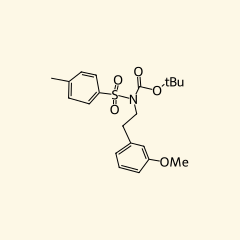 COc1cccc(CCN(C(=O)OC(C)(C)C)S(=O)(=O)c2ccc(C)cc2)c1